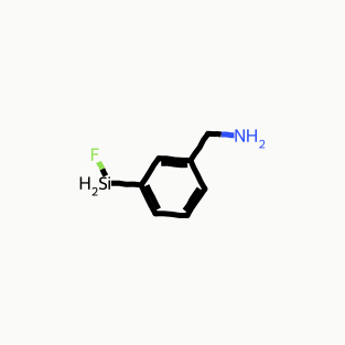 NCc1cccc([SiH2]F)c1